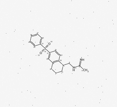 CC(=N)NCC1CCCc2cc(S(=O)(=O)c3ccccc3)ccc21